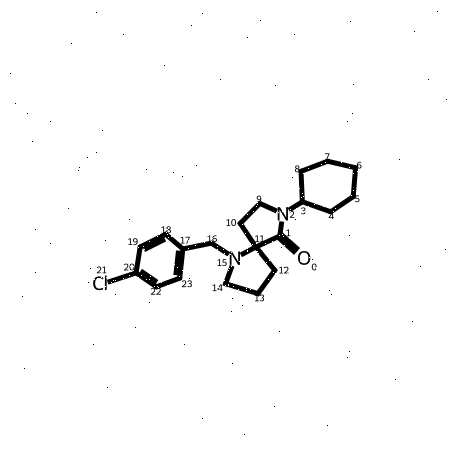 O=C1N(C2CCCCC2)CCC12CCCN2Cc1ccc(Cl)cc1